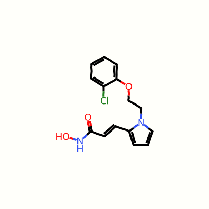 O=C(C=Cc1cccn1CCOc1ccccc1Cl)NO